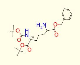 CC(C)(C)OC(=O)N[C@@H](CCCC(N)C(=O)OCc1ccccc1)C(=O)OC(C)(C)C